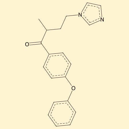 CC(CCn1ccnc1)C(=O)c1ccc(Oc2ccccc2)cc1